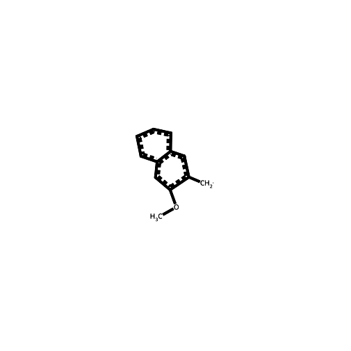 [CH2]c1cc2ccccc2cc1OC